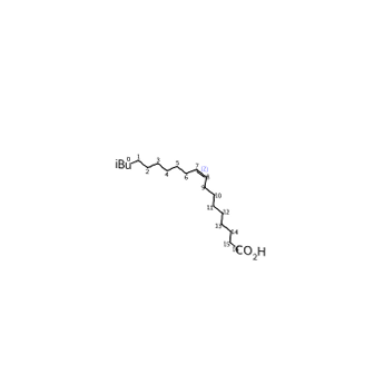 CCC(C)CCCCCC/C=C\CCCCCCCC(=O)O